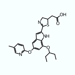 CCC(CC)Oc1cc(Oc2ccc(C)cn2)cc2cc(C3=NCC(CC(=O)O)S3)[nH]c12